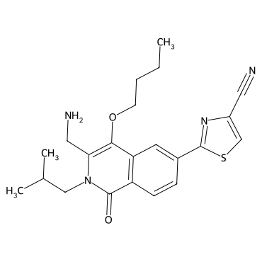 CCCCOc1c(CN)n(CC(C)C)c(=O)c2ccc(-c3nc(C#N)cs3)cc12